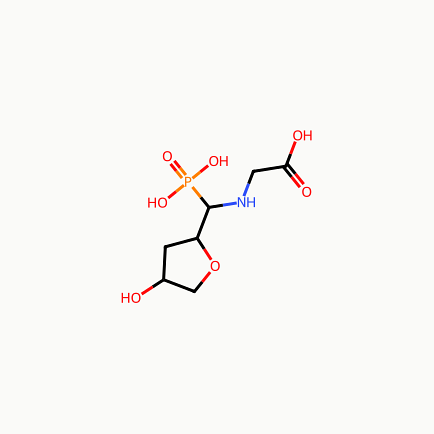 O=C(O)CNC(C1CC(O)CO1)P(=O)(O)O